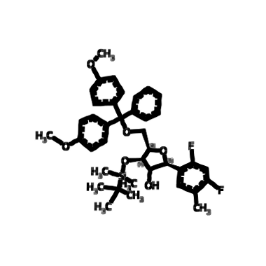 COc1ccc(C(OC[C@H]2O[C@@H](c3cc(C)c(F)cc3F)C(O)[C@H]2O[Si](C)(C)C(C)(C)C)(c2ccccc2)c2ccc(OC)cc2)cc1